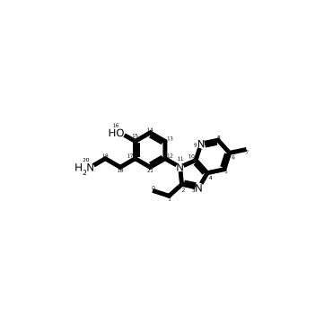 CCc1nc2cc(C)cnc2n1-c1ccc(O)c(CCN)c1